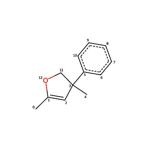 CC1=CC(C)(c2ccccc2)CO1